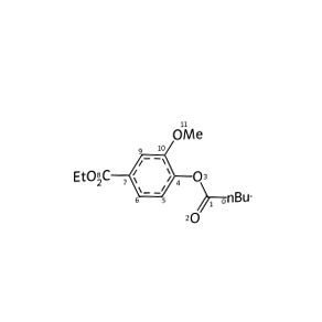 CCC[CH]C(=O)Oc1ccc(C(=O)OCC)cc1OC